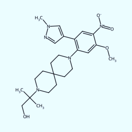 COc1cc(N2CCC3(CC2)CCN(C(C)(C)CO)CC3)c(-c2cnn(C)c2)cc1[N+](=O)[O-]